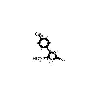 O=C(O)c1[nH]c(=S)sc1-c1ccc(Cl)cc1